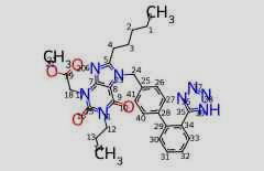 CCCCCc1nc2c(c(=O)n(CCC)c(=O)n2CC(=O)OC)n1Cc1ccc(-c2ccccc2-c2nnn[nH]2)cc1